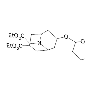 CCOC(=O)CN1C2CC(OC3CCCCO3)CC1CC(C(=O)OCC)C2